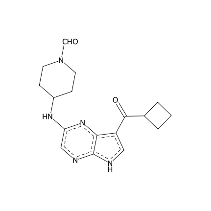 O=CN1CCC(Nc2cnc3[nH]cc(C(=O)C4CCC4)c3n2)CC1